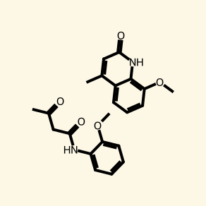 COc1cccc2c(C)cc(=O)[nH]c12.COc1ccccc1NC(=O)CC(C)=O